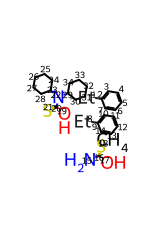 C.CCc1ccccc1.CCc1ccccc1.NC(O)=S.OC(=S)N(C1CCCCC1)C1CCCCC1